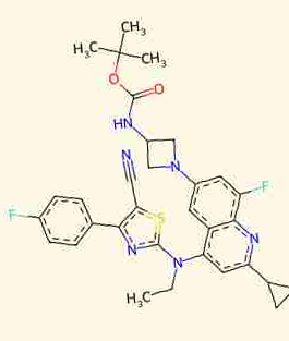 CCN(c1nc(-c2ccc(F)cc2)c(C#N)s1)c1cc(C2CC2)nc2c(F)cc(N3CC(NC(=O)OC(C)(C)C)C3)cc12